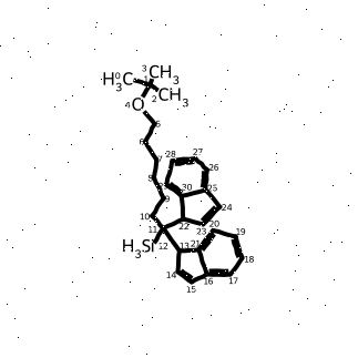 CC(C)(C)OCCCCCCC([SiH3])(C1C=Cc2ccccc21)C1C=Cc2ccccc21